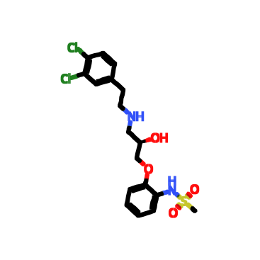 CS(=O)(=O)Nc1ccccc1OC[C@H](O)CNCCc1ccc(Cl)c(Cl)c1